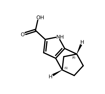 O=C(O)c1cc2c([nH]1)[C@@H]1CC[C@H]2C1